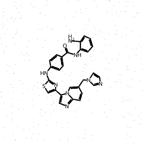 Nc1ccccc1NC(=O)c1ccc(Nc2nc(-c3cnc4ccc(Cn5ccnc5)cn34)cs2)cc1